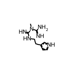 CN(C(=N)N)C(=N)NCCc1cc[nH]c1